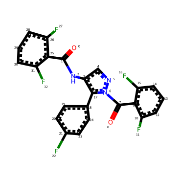 O=C(Nc1cnn(C(=O)c2c(F)cccc2F)c1-c1ccc(F)cc1)c1c(F)cccc1F